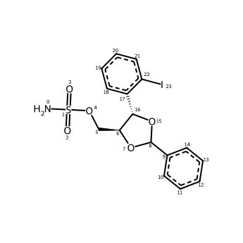 NS(=O)(=O)OC[C@@H]1OC(c2ccccc2)O[C@H]1c1ccccc1I